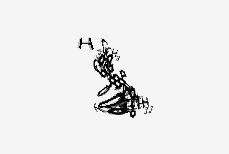 CCc1ccc(N(c2cccc(-c3cccc(-c4ccccc4C(C)C)c3)c2O)c2cc(C3CCCC3)c3ccc4c(N(c5ccc(CC)cc5)c5cccc6c5oc5c(-c7ccccc7C(C)C)cccc56)cc(C5CCCC5)c5ccc2c3c54)cc1